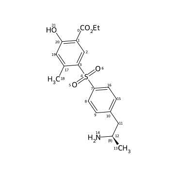 CCOC(=O)c1cc(S(=O)(=O)c2ccc(C[C@@H](C)N)cc2)c(C)cc1O